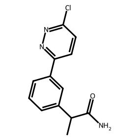 CC(C(N)=O)c1cccc(-c2ccc(Cl)nn2)c1